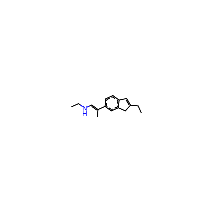 CCN/C=C(\C)c1ccc2c(c1)CC(CC)=C2